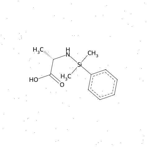 C[C@H](N[Si](C)(C)c1ccccc1)C(=O)O